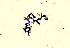 C=CC(C=C/C(O)=C\CC)C(=O)N1CCC[C@H]1C(=O)NCc1ccc(C)cc1